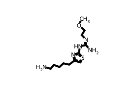 COCC/N=C(/N)Nc1nc(CCCCCN)cs1